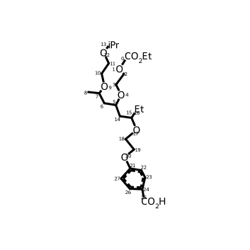 CCOC(=O)OCCOC(CC(C)OCCOC(C)C)CC(CC)OCCOc1ccc(C(=O)O)cc1